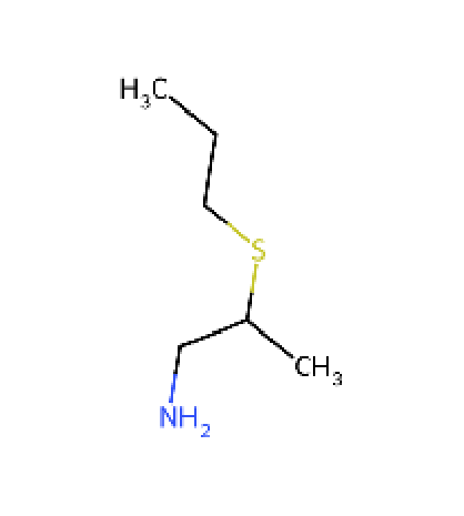 CCCSC(C)CN